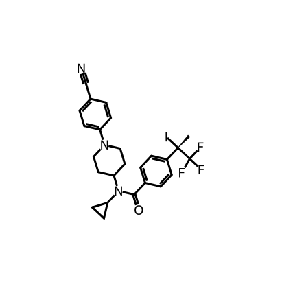 C[C@](I)(c1ccc(C(=O)N(C2CC2)C2CCN(c3ccc(C#N)cc3)CC2)cc1)C(F)(F)F